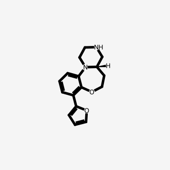 c1coc(-c2cccc3c2OCC[C@H]2CNCCN32)c1